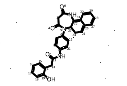 O=C1CC(=O)N(c2ccc(NC(=O)Cc3ccccc3O)cc2)C2CC=c3ccccc3=C2N1